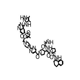 CN[C@@H](C)C(=O)N[C@H](C(=O)N1CCC[C@H]1C(=O)N[C@@H]1CCCc2ccccc21)C1CCN(C(=O)c2cnc(N3CCN(CCOc4cc5ncnc(Nc6n[nH]c(C)c6C)c5cc4S(=O)(=O)C(C)(C)C)CC3)nc2)CC1